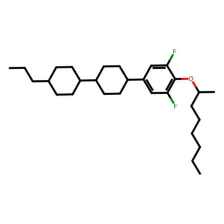 CCCCCCC(C)Oc1c(F)cc(C2CCC(C3CCC(CCC)CC3)CC2)cc1F